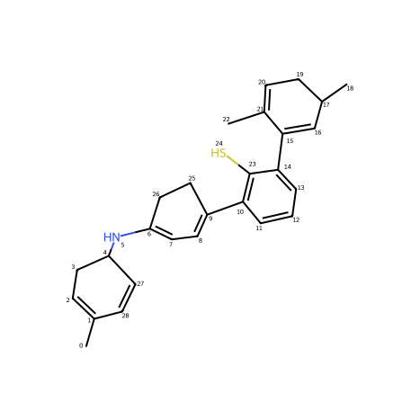 CC1=CCC(NC2=CC=C(c3cccc(C4=CC(C)CC=C4C)c3S)CC2)C=C1